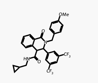 COc1ccc(CN2C(=O)c3ccccc3C(C(=O)NCC3CC3)C2c2cc(C(F)(F)F)cc(C(F)(F)F)c2)cc1